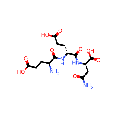 NC(=O)C[C@@H](NC(=O)[C@@H](CCC(=O)O)NC(=O)[C@@H](N)CCC(=O)O)C(=O)O